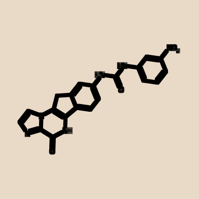 O=C(Nc1cccc([N+](=O)[O-])c1)Nc1ccc2c(c1)Cc1c-2[nH]c(=O)c2nccn12